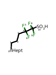 CCCCCCCCCCC(F)(F)C(F)(F)S(=O)(=O)O